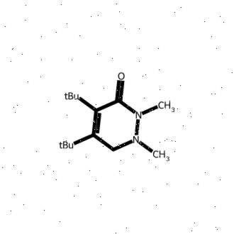 CN1CC(C(C)(C)C)=C(C(C)(C)C)C(=O)N1C